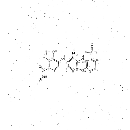 CONC(=O)c1ccc(Nc2ncc(Cl)c(Nc3ccccc3P(C)(C)=O)c2N)c2c1CCO2